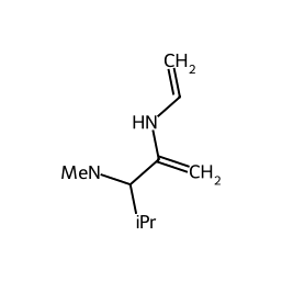 C=CNC(=C)C(NC)C(C)C